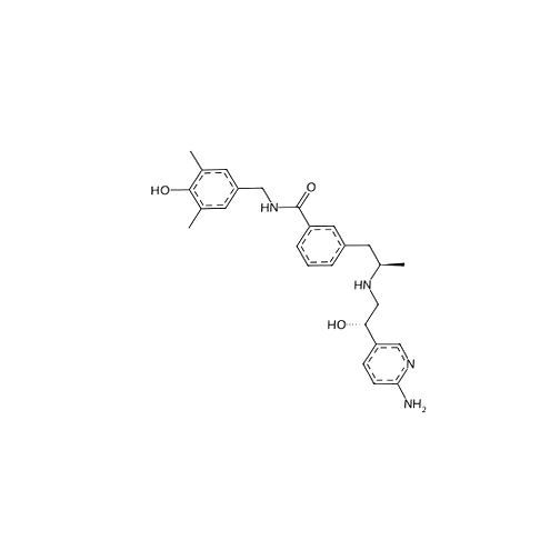 Cc1cc(CNC(=O)c2cccc(C[C@@H](C)NC[C@@H](O)c3ccc(N)nc3)c2)cc(C)c1O